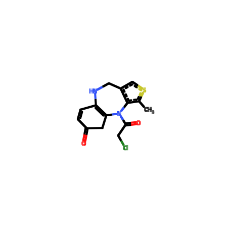 Cc1scc2c1N(C(=O)CCl)C1=C(C=CC(=O)C1)NC2